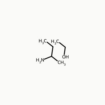 CCC(C)N.CCO